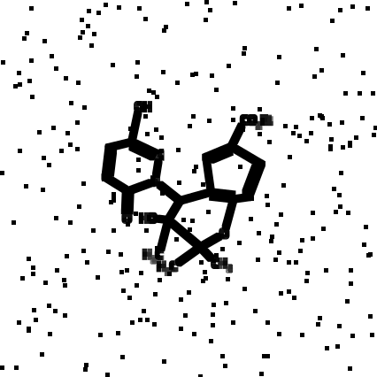 CCOC(=O)c1ccc2c(c1)C(n1nc(O)ccc1=O)C(C)(O)C(C)(C)O2